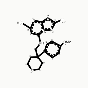 COc1ccc(C2(CNc3cc(C)nc4nc(C(F)(F)F)nn34)CCOCC2)cc1